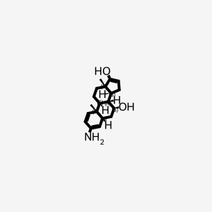 C[C@]12C=CC(N)=C[C@H]1C[C@H](O)[C@@H]1[C@@H]2CC[C@]2(C)C(O)=CC[C@@H]12